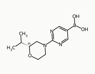 CC(C)[C@@H]1CN(c2ncc(B(O)O)cn2)CCO1